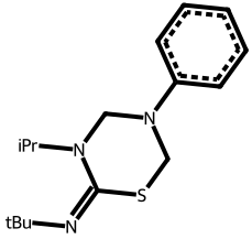 CC(C)N1CN(c2ccccc2)CSC1=NC(C)(C)C